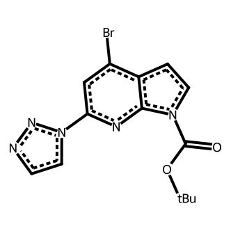 CC(C)(C)OC(=O)n1ccc2c(Br)cc(-n3ccnn3)nc21